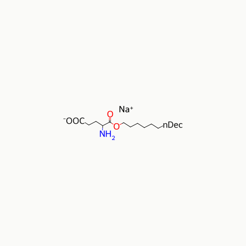 CCCCCCCCCCCCCCCCOC(=O)C(N)CCC(=O)[O-].[Na+]